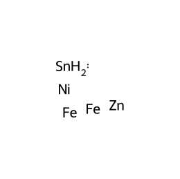 [Fe].[Fe].[Ni].[SnH2].[Zn]